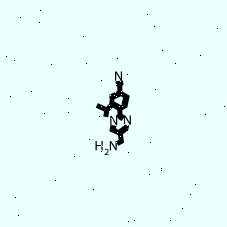 CC(C)c1cc(C#N)ccc1-c1ncc(CN)cn1